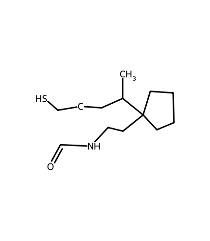 CC(CCCS)C1(CCNC=O)CCCC1